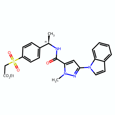 CCOC(=O)CS(=O)(=O)c1ccc([C@@H](C)NC(=O)c2cc(-n3ccc4ccccc43)nn2C)cc1